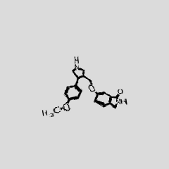 COc1ccc(C2CNCC2COc2ccc3c(c2)C(=O)NC3)cc1